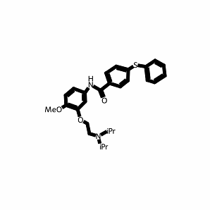 COc1ccc(NC(=O)c2ccc(Sc3ccccc3)cc2)cc1OCCN(C(C)C)C(C)C